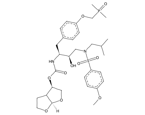 COc1ccc(S(=O)(=O)N(CC(C)C)C[C@@H](O)[C@H](Cc2ccc(OCP(C)(C)=O)cc2)NC(=O)O[C@H]2CO[C@H]3OCCC32)cc1